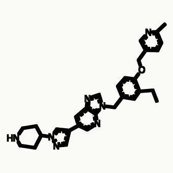 CCc1cc(Cn2cnc3cc(-c4cnn(C5CCNCC5)c4)cnc32)ccc1OCc1ccc(C)nc1